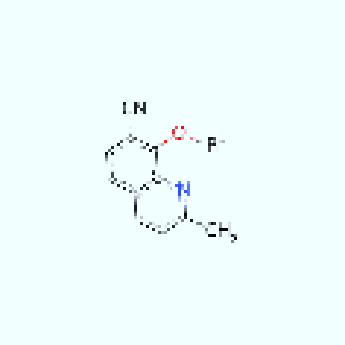 Cc1ccc2ccc(C#N)c(OC(C)C)c2n1